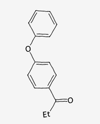 CCC(=O)c1ccc(Oc2ccccc2)cc1